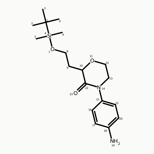 CC(C)(C)[Si](C)(C)OCCC1OCCN(c2ccc(N)cc2)C1=O